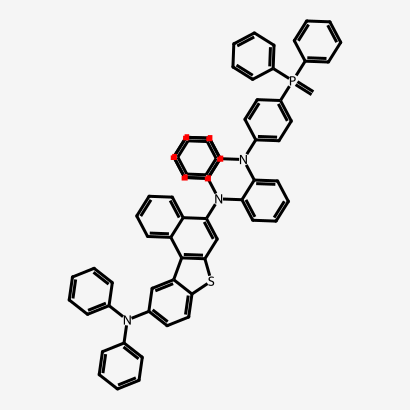 C=P(c1ccccc1)(c1ccccc1)c1ccc(N(c2ccccc2)c2ccccc2N(c2ccccc2)c2cc3sc4ccc(N(c5ccccc5)c5ccccc5)cc4c3c3ccccc23)cc1